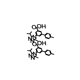 Cc1ccc(-c2cc(C(=O)O)cc(-n3c(C)nnc3C(C)C)c2)cc1.Cc1ccc(-c2cc(C(=O)O)cc(-n3c(C)nnc3C(C)C)c2)cc1